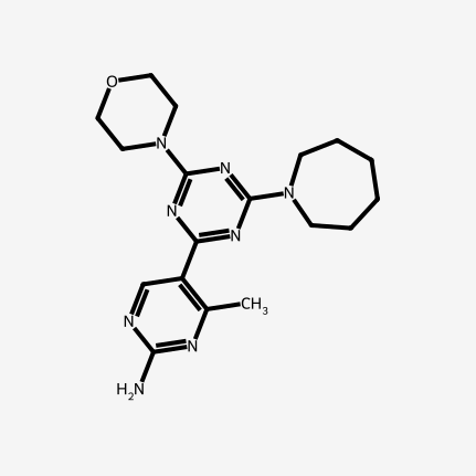 Cc1nc(N)ncc1-c1nc(N2CCCCCC2)nc(N2CCOCC2)n1